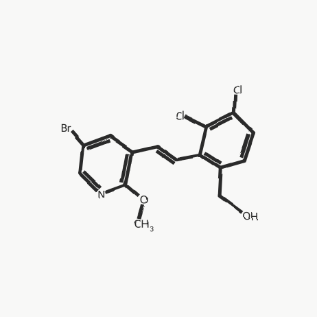 COc1ncc(Br)cc1C=Cc1c(CO)ccc(Cl)c1Cl